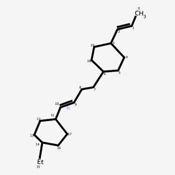 CC=CC1CCC(CC/C=C/C2CCC(CC)CC2)CC1